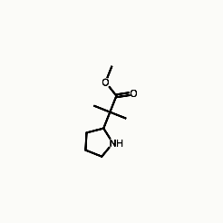 COC(=O)C(C)(C)C1CCCN1